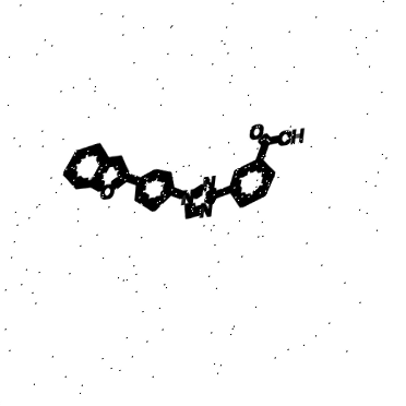 O=C(O)c1cccc(-c2ncn(-c3ccc(-c4cc5ccccc5o4)cc3)n2)c1